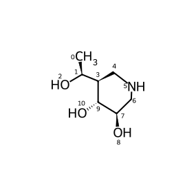 C[C@H](O)[C@H]1CNC[C@@H](O)[C@@H]1O